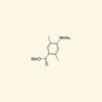 COC(=O)c1cc(C)c(NC(C)=O)cc1C